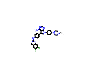 CN1CCN([C@H]2CC[C@H](n3cc(-c4ccc(Nc5ncc6cc(F)c(F)cc6n5)cc4)c4c(N)ncnc43)CC2)CC1